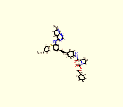 COc1ccc(Sc2ccc(C#Cc3ccc(NC(=O)[C@@H]4CCCN4C(=O)OCc4ccccc4)cc3)cc2Nc2ncnc3nc(C(C)C)ccc23)cc1